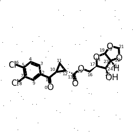 O=C(c1ccc(Cl)c(Cl)c1)C1C[C@@H]1C(=O)OC[C@H]1OC2OCO[C@@H]2[C@H]1O